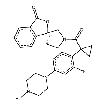 CC(=O)N1CCN(c2ccc(C3(C(=O)N4CC[C@@]5(C4)OC(=O)c4ccccc45)CC3)c(F)c2)CC1